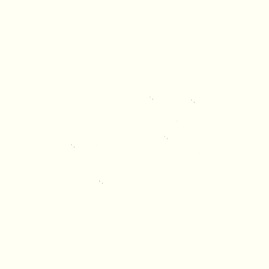 c1ccc(N(c2ccccc2)c2ccc3c(c2)N(c2ccccc2)c2cccc4c2B3c2ccc(-n3c5ccccc5c5c6c(c7ccccc7n6-c6ccccc6)c6c(c7ccccc7n6-c6ccccc6)c53)cc2O4)cc1